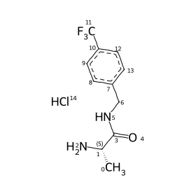 C[C@H](N)C(=O)NCc1ccc(C(F)(F)F)cc1.Cl